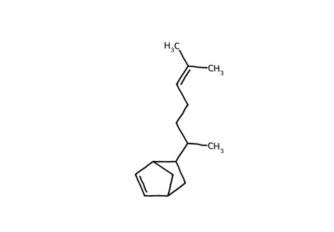 CC(C)=CCCC(C)C1CC2C=CC1C2